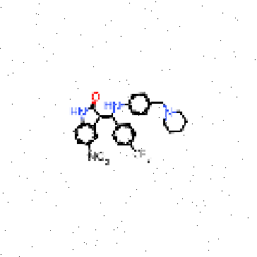 O=C1Nc2ccc([N+](=O)[O-])cc2C1=C(Nc1ccc(CN2CCCCC2)cc1)c1ccc(C(F)(F)F)cc1